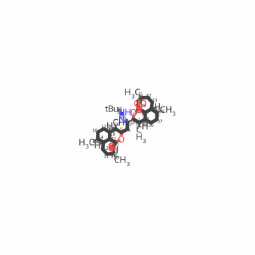 C[C@H]1[C@@H](/C(CC2O[C@@H]3O[C@]4(C)CC[C@H]5[C@H](C)CC[C@@H]([C@H]2C)[C@@]35OO4)=N\NC(C)(C)C)O[C@@H]2O[C@]3(C)CC[C@H]4[C@H](C)CC[C@@H]1[C@@]24OO3